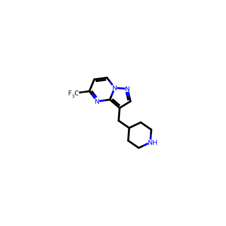 FC(F)(F)c1ccn2ncc(CC3CCNCC3)c2n1